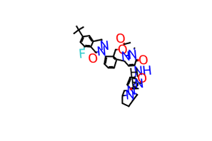 CC(=O)OCc1c(-c2cc(Nc3ccc(N4C5CCC4CN(BC=O)C5)cn3)c(=O)n(C)n2)cccc1-n1ncc2cc(C(C)(C)C)cc(F)c2c1=O